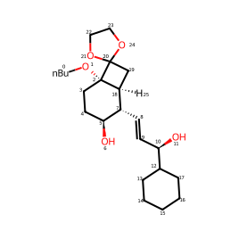 CCCCO[C@@]12CC[C@H](O)[C@@H](/C=C/[C@@H](O)C3CCCCC3)[C@@H]1CC21OCCO1